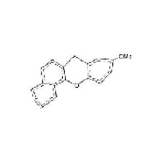 COc1ccc2c(c1)Cc1ccc3ccccc3c1O2